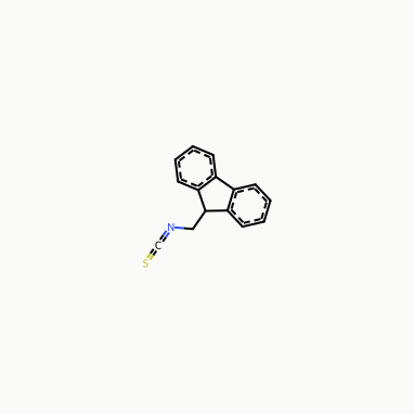 S=C=NCC1c2ccccc2-c2ccccc21